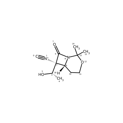 [C-]#[N+][C@]1([C@H](C)O)C(=O)N2[C@@H]1CCOC2(C)C